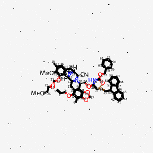 C=CCOc1c(C)c2c(c3c1CC1[C@@H]4c5c(cc(C)c(OC)c5OCOCCOC)C[C@H]([C@H](C#N)N1[C@H]3COC(CSCC1c3ccccc3-c3ccccc31)NC(=O)OCc1ccccc1)N4C)OCO2